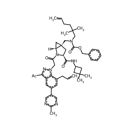 C=CCCC(C)(C)CN(C[C@@]12C[C@@H](C(=O)NC3CC(C)(C)C3)N(C(=O)Cn3nc(C(C)=O)c4cc(-c5cnc(C)nc5)cc(CC=C)c43)[C@@H]1C2)C(=O)OCc1ccccc1